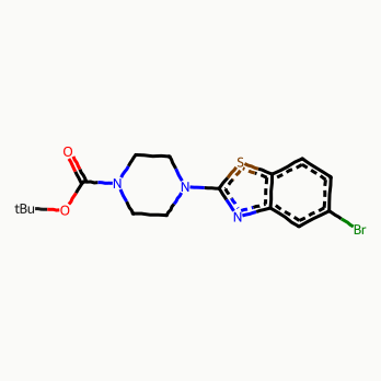 CC(C)(C)OC(=O)N1CCN(c2nc3cc(Br)ccc3s2)CC1